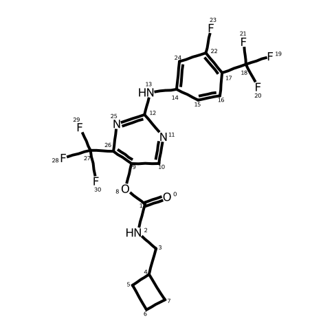 O=C(NCC1CCC1)Oc1cnc(Nc2ccc(C(F)(F)F)c(F)c2)nc1C(F)(F)F